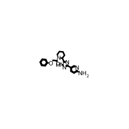 Nc1ccc(-c2n[nH]c(C3CCCCN3C(=O)COc3ccccc3)n2)cn1